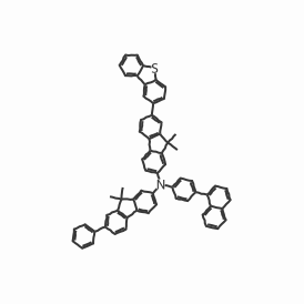 CC1(C)c2cc(-c3ccccc3)ccc2-c2ccc(N(c3ccc(-c4cccc5ccccc45)cc3)c3ccc4c(c3)C(C)(C)c3cc(-c5ccc6sc7ccccc7c6c5)ccc3-4)cc21